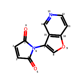 O=C1C=CC(=O)N1c1coc2ccncc12